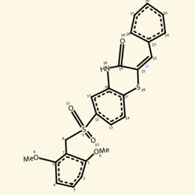 COc1cccc(OC)c1CS(=O)(=O)c1ccc2c(c1)NC(=O)/C(=C\c1ccccc1)S2